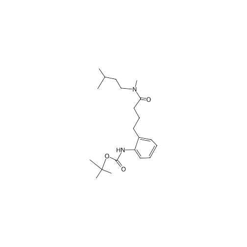 CC(C)CCN(C)C(=O)CCCc1ccccc1NC(=O)OC(C)(C)C